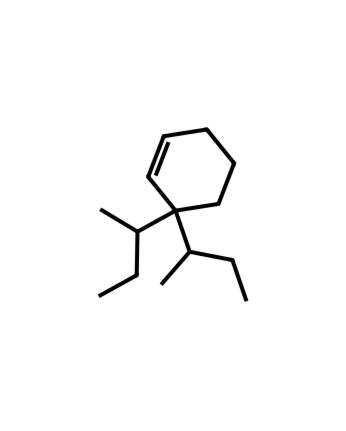 CCC(C)C1(C(C)CC)C=CCCC1